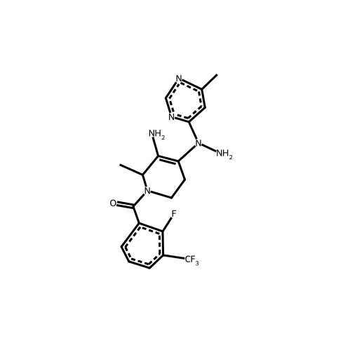 Cc1cc(N(N)C2=C(N)C(C)N(C(=O)c3cccc(C(F)(F)F)c3F)CC2)ncn1